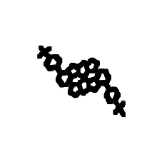 CC1=Cc2c(-c3ccc(C(C)(C)C)cc3)cccc2C1[Si](C1CCCC1)(C1CCCC1)C1C(C)=Cc2c(-c3ccc(C(C)(C)C)cc3)cccc21